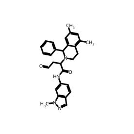 Cc1cc(C)c2c(c1)C(c1ccccc1)N(C(CC=O)C(=O)Nc1ccc3cnn(C)c3c1)CC2